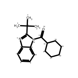 CC(C)(C)c1nc2ccccc2n1C(=O)C1CCCCC1